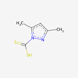 Cc1cc(C)n(C(=S)S)n1